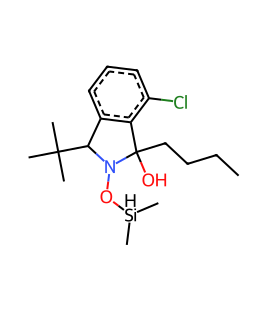 CCCCC1(O)c2c(Cl)cccc2C(C(C)(C)C)N1O[SiH](C)C